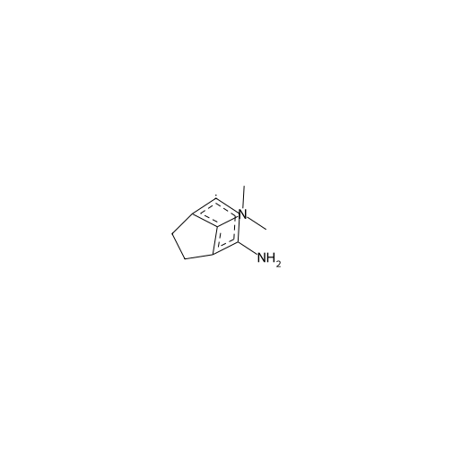 CN(C)c1c2[c]cc(N)c1CC2